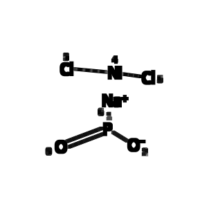 O=P[O-].[Cl][Ni][Cl].[Na+]